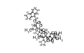 C[C@H]1C[C@@H](C(=O)N(C)C2(C(=O)N(C)[C@H](C(=O)N(C)[C@@H](CC(=O)O)C(=O)N(C)C)C3CCCC3)CCC2)N(C(=O)OCC2c3ccccc3-c3ccccc32)C1